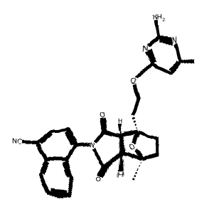 Cc1cc(OCC[C@]23CC[C@](C)(O2)[C@@H]2C(=O)N(c4ccc(C#N)c5ccccc45)C(=O)[C@@H]23)nc(N)n1